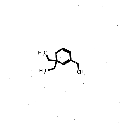 CCC1=CC(CC)(CC)CC=C1